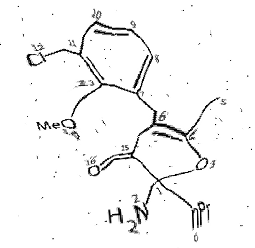 CCCC1(N)OC(C)=C(c2cccc(Cl)c2OC)C1=O